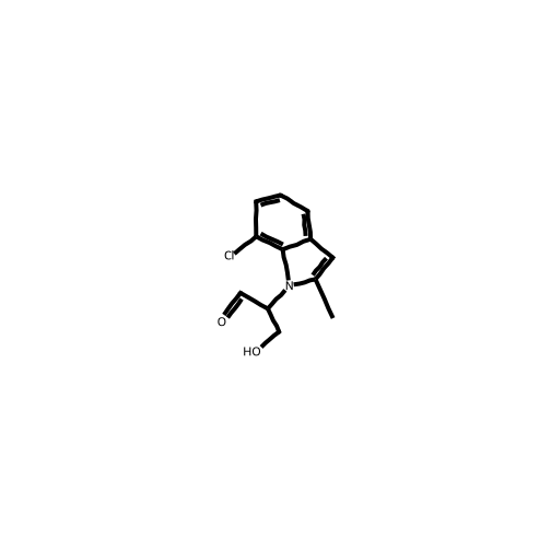 Cc1cc2cccc(Cl)c2n1C(C=O)CO